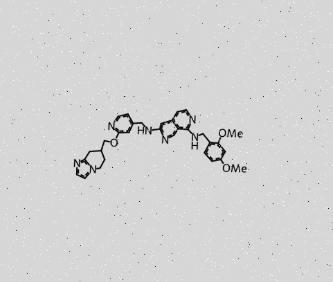 COc1ccc(CNc2nccc3cc(NCc4ccnc(OCC5CCn6ccnc6C5)c4)ncc23)c(OC)c1